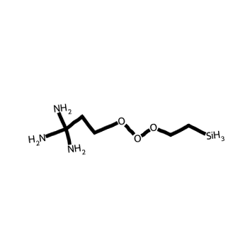 NC(N)(N)CCOOOCC[SiH3]